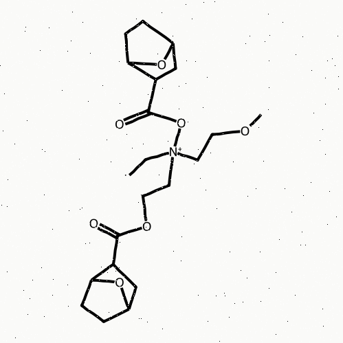 [CH2]C[N+](CCOC)(CCOC(=O)C1CC2CCC1O2)OC(=O)C1CC2CCC1O2